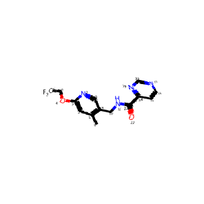 Cc1cc(OCC(F)(F)F)ncc1CNC(=O)c1ccncn1